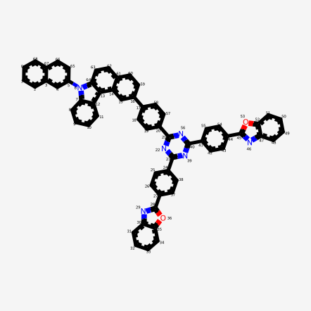 c1ccc2cc(-n3c4ccccc4c4c5cc(-c6ccc(-c7nc(-c8ccc(-c9nc%10ccccc%10o9)cc8)nc(-c8ccc(-c9nc%10ccccc%10o9)cc8)n7)cc6)ccc5ccc43)ccc2c1